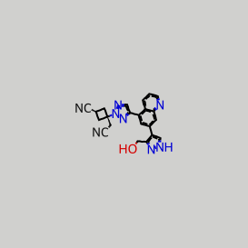 N#CC[C@]1(n2ncc(-c3cc(-c4c[nH]nc4CO)cc4ncccc34)n2)C[C@H](C#N)C1